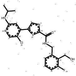 CC(C)Nc1cc(-c2cnc(C(=O)NCc3cccc(F)c3CO)s2)c(Cl)cn1